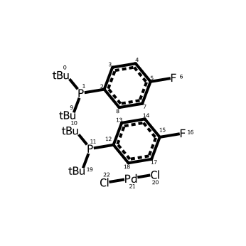 CC(C)(C)P(c1ccc(F)cc1)C(C)(C)C.CC(C)(C)P(c1ccc(F)cc1)C(C)(C)C.[Cl][Pd][Cl]